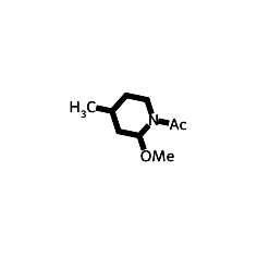 COC1CC(C)CCN1C(C)=O